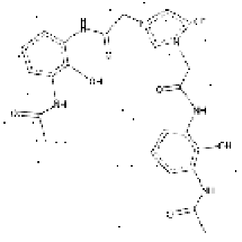 CC(=O)Nc1cccc(NC(=O)Cn2cc[n+](CC(=O)Nc3cccc(NC(C)=O)c3O)c2)c1O.[Cl-]